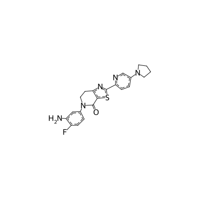 Nc1cc(N2CCc3nc(-c4ccc(N5CCCC5)cn4)sc3C2=O)ccc1F